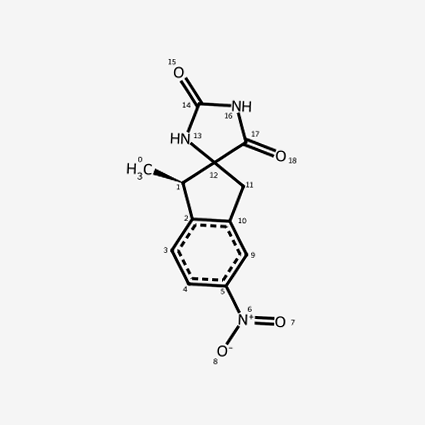 C[C@@H]1c2ccc([N+](=O)[O-])cc2CC12NC(=O)NC2=O